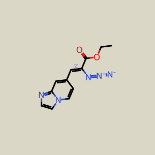 CCOC(=O)/C(=C/c1ccn2ccnc2c1)N=[N+]=[N-]